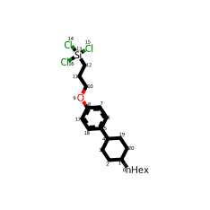 CCCCCCC1CCC(c2ccc(OCCC[Si](Cl)(Cl)Cl)cc2)CC1